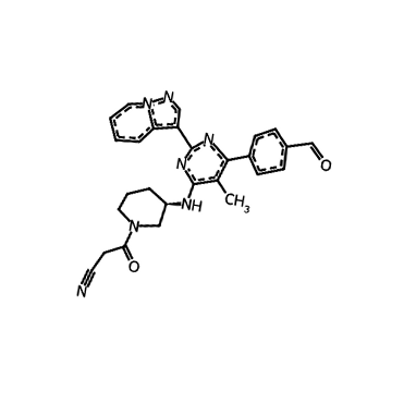 Cc1c(N[C@@H]2CCCN(C(=O)CC#N)C2)nc(-c2cnn3ccccc23)nc1-c1ccc(C=O)cc1